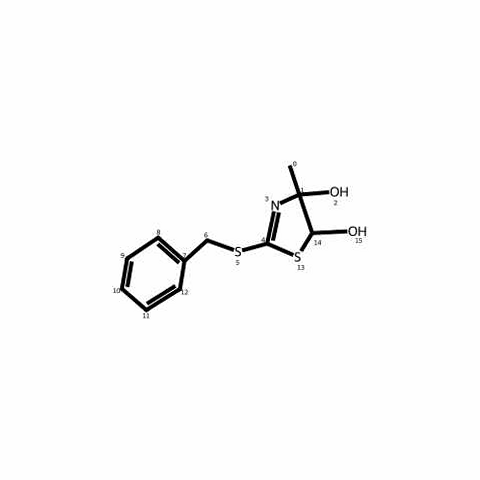 CC1(O)N=C(SCc2ccccc2)SC1O